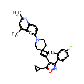 Cc1cc(C(F)(F)F)c2cc(N3CCC4(C=C(c5c(-c6ccc(F)cc6C)noc5C5CC5)C4)CC3)ccc2n1